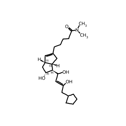 CN(C)C(=O)CCCCC1=C[C@H]2C[C@@H](O)[C@H](C(O)C=C(O)CC3CCCC3)[C@H]2C1